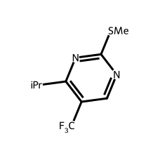 CSc1ncc(C(F)(F)F)c(C(C)C)n1